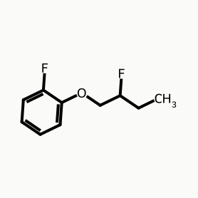 CCC(F)COc1ccccc1F